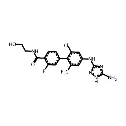 Nc1nc(Nc2cc(Cl)c(-c3ccc(C(=O)NCCO)c(F)c3)c(C(F)(F)F)c2)n[nH]1